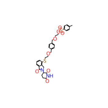 Cc1ccc(S(=O)(=O)OCCOCc2ccc(COCCSc3cccc4c3CN(C3CCC(=O)NC3=O)C4=O)cc2)cc1